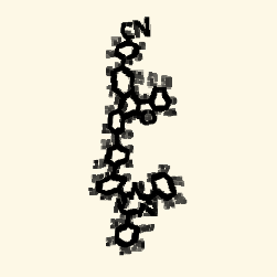 N#Cc1ccc(-c2ccc3c4ccc(-c5ccc(-c6cccc(-c7nc(-c8ccccc8)nc(-c8ccccc8)n7)c6)cc5)cc4c4oc5ccccc5c4c3c2)cc1